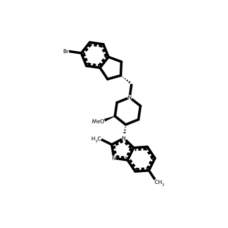 CO[C@H]1CN(C[C@H]2Cc3ccc(Br)cc3C2)CC[C@@H]1n1c(C)nc2cc(C)ccc21